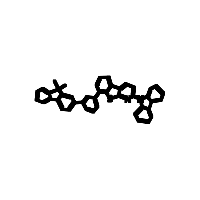 CC1(C)c2ccccc2-c2ccc(-c3cccc(-c4cccc5c4sc4nc(-n6c7ccccc7c7ccccc76)ccc45)c3)cc21